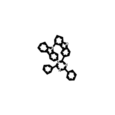 c1ccc(-c2nc(-c3ccccc3)nc(-c3ccc4oc5cccc(-n6c7ccccc7c7ccccc76)c5c4c3)n2)cc1